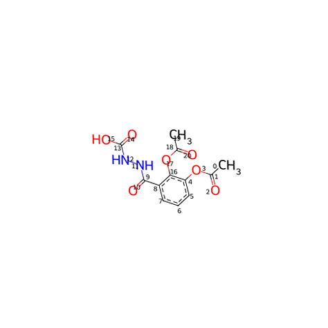 CC(=O)Oc1cccc(C(=O)NNC(=O)O)c1OC(C)=O